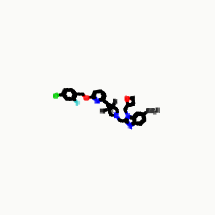 O=C(O)c1ccc2nc(CN3C[C@@H]4C(c5cccc(OCc6ccc(Cl)cc6F)n5)[C@@H]4C3)n(CC3CCO3)c2c1